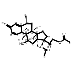 CC(=O)OCC(=O)[C@@]1(OC(C)=O)CC[C@H]2[C@@H]3C[C@H](C)C4=CC(=O)C=C[C@]4(C)[C@H]3C(O)C[C@@]21C